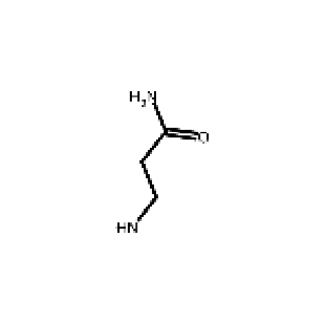 [NH]CCC(N)=O